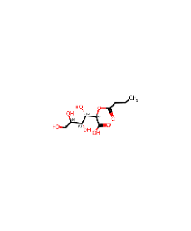 CCCC(=O)O[C@@H](C(=O)O)[C@@H](O)[C@H](O)[C@H](O)CO